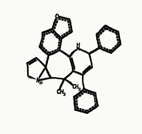 CC1(C)C2=C(NC(c3ccccc3)C=C2c2ccccc2)c2c(ccc3occc23)C23C=CC[N@@]2C13